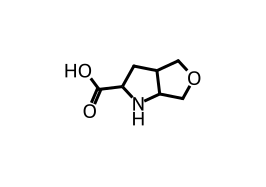 O=C(O)C1CC2COCC2N1